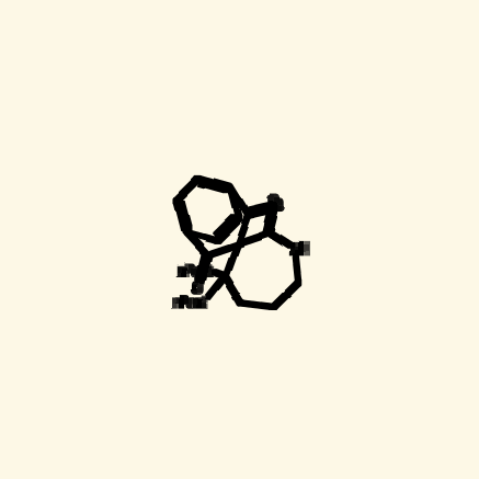 CCCCCC1(CCCCC)CCCNC(=O)C12C(=O)c1ccc(cc1)C2=O